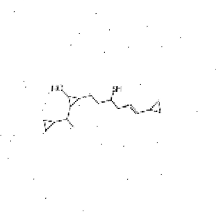 CC(C1CC1)C1C(O)C1CCC(S)CC=CC1CC1